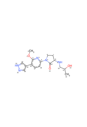 COc1nc(N2CCC(NCC(C)O)C2=O)ccc1-c1cn[nH]c1